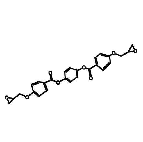 O=C(Oc1ccc(OC(=O)c2ccc(OCC3CO3)cc2)cc1)c1ccc(OCC2CO2)cc1